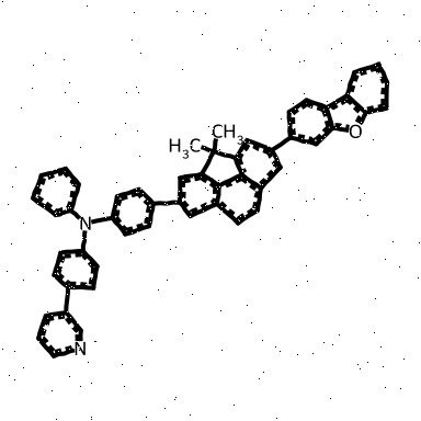 CC1(C)c2cc(-c3ccc(N(c4ccccc4)c4ccc(-c5cccnc5)cc4)cc3)cc3ccc4cc(-c5ccc6c(c5)oc5ccccc56)cc1c4c23